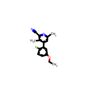 CCOc1ccc(F)c(-c2cc(C)nc(C#N)c2C)c1